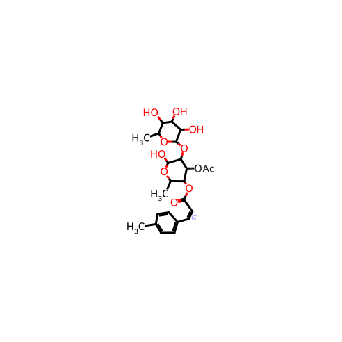 CC(=O)OC1C(OC(=O)/C=C\c2ccc(C)cc2)C(C)OC(O)C1OC1OC(C)C(O)C(O)C1O